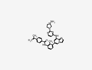 C=C(C)c1ccc(C(=O)Nc2cccc(-c3cc(Nc4ccnc(N5CC[C@@H](N)C5)n4)c4nccn4c3)c2C)cc1